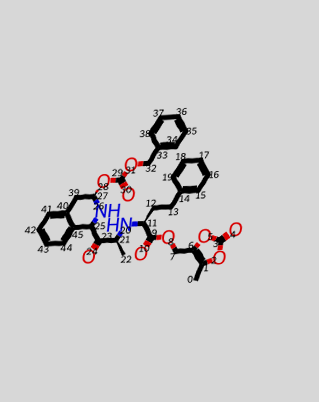 Cc1oc(=O)oc1COC(=O)[C@H](CCc1ccccc1)N[C@@H](C)C(=O)C1N[C@@H](OC(=O)OCc2ccccc2)Cc2ccccc21